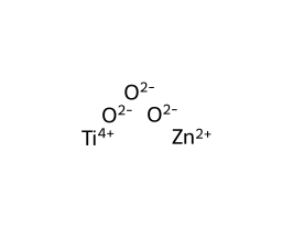 [O-2].[O-2].[O-2].[Ti+4].[Zn+2]